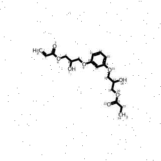 C=CC(=O)OCC(O)COc1cccc(OCC(O)COC(=O)CC)c1